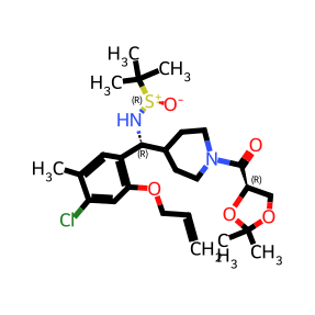 C=CCOc1cc(Cl)c(C)cc1[C@H](N[S@@+]([O-])C(C)(C)C)C1CCN(C(=O)[C@H]2COC(C)(C)O2)CC1